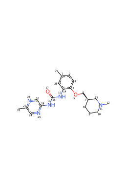 Cc1ccc(OC[C@@H]2CCCN(C)C2)c(NC(=O)Nc2cnc(C)cn2)c1